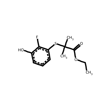 CCOC(=O)C(C)(C)Sc1cccc(O)c1F